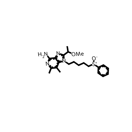 COC(C)c1nc2c(N)nc(C)c(C)c2n1CCCCC[S+]([O-])c1ccccc1